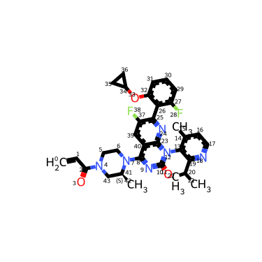 C=CC(=O)N1CCN(c2nc(=O)n(-c3c(C)ccnc3C(C)C)c3nc(-c4c(F)cccc4OC4CC4)c(F)cc23)[C@@H](C)C1